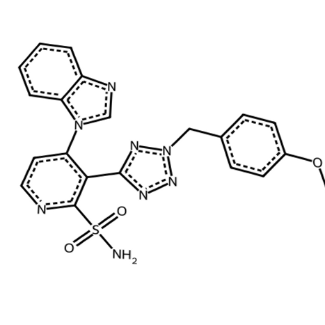 COc1ccc(Cn2nnc(-c3c(-n4cnc5ccccc54)ccnc3S(N)(=O)=O)n2)cc1